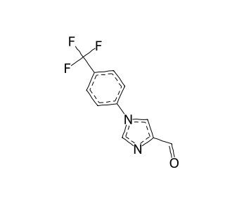 O=Cc1cn(-c2ccc(C(F)(F)F)cc2)cn1